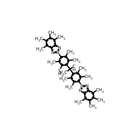 Cc1c(C)c(C(C)(C)c2c(C)c(C)c(-n3nc4c(C)c(C)c(C)c(C)c4n3)c(C)c2C)c(C)c(C)c1-n1nc2c(C)c(C)c(C)c(C)c2n1